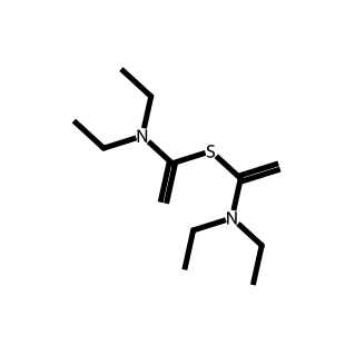 C=C(SC(=C)N(CC)CC)N(CC)CC